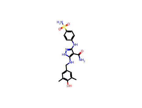 Cc1cc(CNc2[nH]nc(Nc3ccc(S(N)(=O)=O)cc3)c2C(N)=O)cc(C)c1O